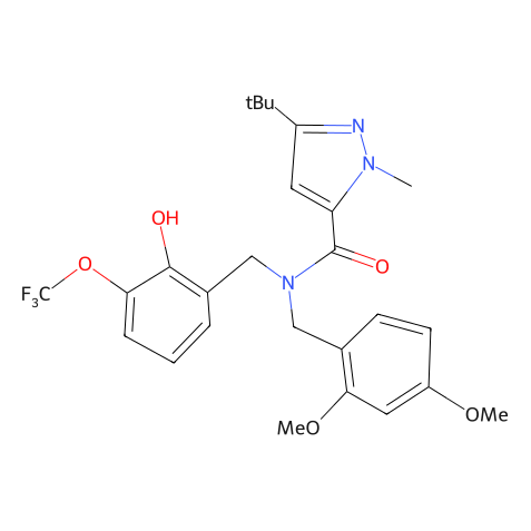 COc1ccc(CN(Cc2cccc(OC(F)(F)F)c2O)C(=O)c2cc(C(C)(C)C)nn2C)c(OC)c1